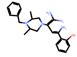 CC1CN(C(/C=C(\N)c2ccccc2O)=C(N)N)CC(C)N1Cc1ccccc1